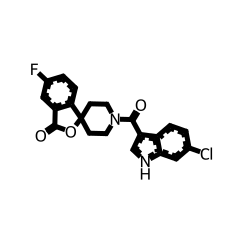 O=C1OC2(CCN(C(=O)c3c[nH]c4cc(Cl)ccc34)CC2)c2ccc(F)cc21